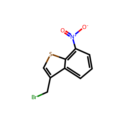 O=[N+]([O-])c1cccc2c(CBr)csc12